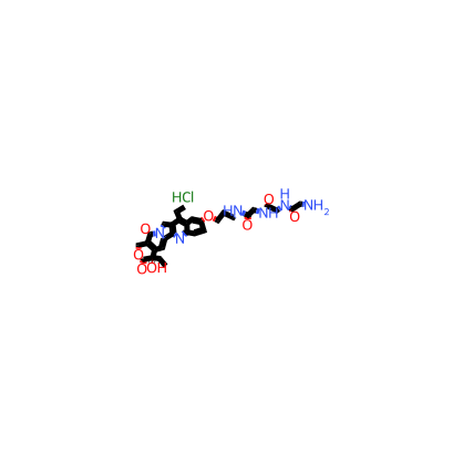 CCc1c2c(nc3ccc(OCCCNC(=O)CNC(=O)CNC(=O)CN)cc13)-c1cc3c(c(=O)n1C2)COC(=O)[C@]3(O)CC.Cl